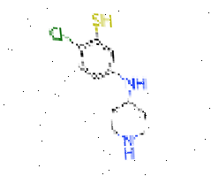 Sc1cc(NC2CCNCC2)ccc1Cl